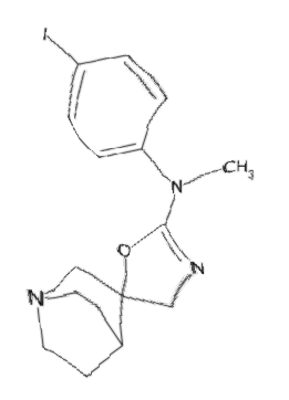 CN(C1=NCC2(CN3CCC2CC3)O1)c1ccc(I)cc1